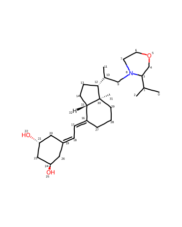 CC(C)C1COCCN1CC(C)[C@H]1CC[C@H]2C(=CC=C3C[C@@H](O)C[C@H](O)C3)CCC[C@]12C